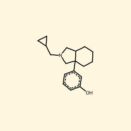 Oc1cccc(C23CCCCC2CN(CC2CC2)C3)c1